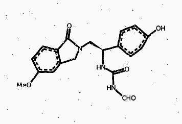 COc1ccc2c(c1)CN(C[C@H](NC(=O)NC=O)c1ccc(O)cc1)C2=O